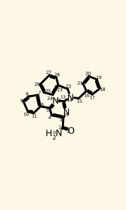 NC(=O)c1cc(-c2ccccc2)nc(N(Cc2ccccc2)Cc2ccccc2)n1